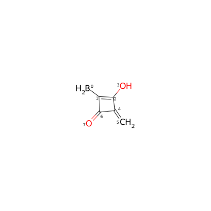 BC1=C(O)C(=C)C1=O